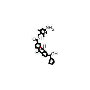 Cc1cc(N)nc(C)c1CNC(=O)c1ccc2c(c1)[C@@H]1O[C@H]2c2ccc(C(O)c3ccccc3)cc21